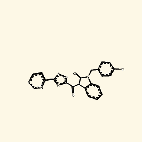 O=C(c1nc(-c2ccncn2)no1)C1c2ccccc2N(Cc2ccc(Cl)cc2)C1Cl